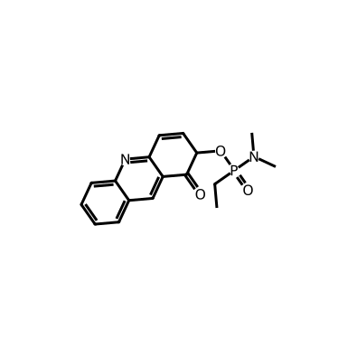 CCP(=O)(OC1C=Cc2nc3ccccc3cc2C1=O)N(C)C